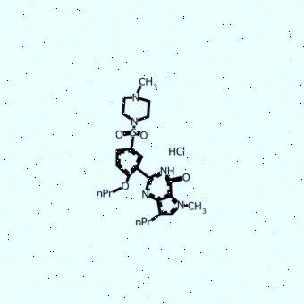 CCCOc1ccc(S(=O)(=O)N2CCN(C)CC2)cc1-c1nc2c(CCC)cn(C)c2c(=O)[nH]1.Cl